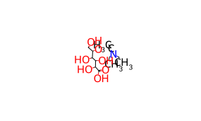 CCN(CC)CC.O=CC(O)C(O)C(O)C(O)C(=O)O